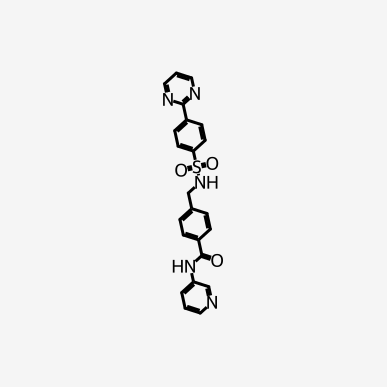 O=C(Nc1cccnc1)c1ccc(CNS(=O)(=O)c2ccc(-c3ncccn3)cc2)cc1